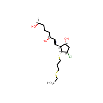 C[C@@H](O)CCC[C@H](O)/C=C/[C@@H]1[C@@H](SCCCSCC(=O)O)[C@H](Cl)C[C@H]1O